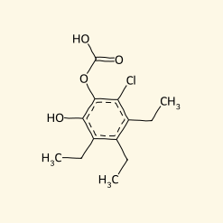 CCc1c(O)c(OC(=O)O)c(Cl)c(CC)c1CC